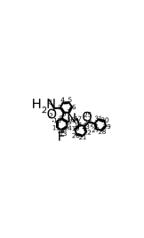 NC(=O)c1cccc2c1c1[c]cc(F)cc1n2Cc1ccccc1C(=O)c1ccccc1